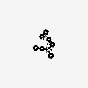 c1ccc(-c2ccc(-c3nc(-c4ccccc4)nc(-c4cccc5c4oc4cc(-n6c7ccccc7c7cccnc76)ccc45)n3)cc2)cc1